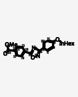 CCCCCCOc1ccc(-c2noc(-c3ccc(C(=O)OC)cc3)n2)cc1